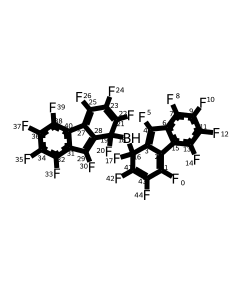 FC1=C2C(=C(F)c3c(F)c(F)c(F)c(F)c32)C(F)(BC2(F)C(F)=C(F)C(F)=C3C2=C(F)c2c(F)c(F)c(F)c(F)c23)C(F)=C1F